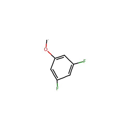 [CH2]Oc1cc(F)cc(F)c1